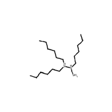 CCCCCC[SiH]([SiH3])[SiH](CCCCCC)CCCCCC